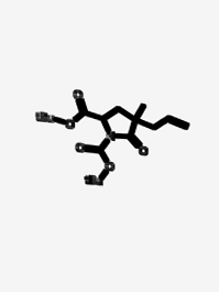 C=CCC1(C)CC(C(=O)OC(C)(C)C)N(C(=O)OC(C)(C)C)C1=O